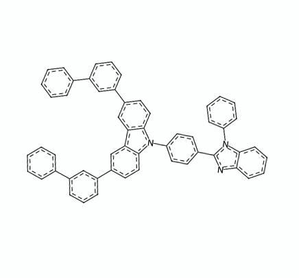 c1ccc(-c2cccc(-c3ccc4c(c3)c3cc(-c5cccc(-c6ccccc6)c5)ccc3n4-c3ccc(-c4nc5ccccc5n4-c4ccccc4)cc3)c2)cc1